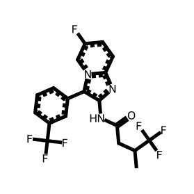 CC(CC(=O)Nc1nc2ccc(F)cn2c1-c1cccc(C(F)(F)F)c1)C(F)(F)F